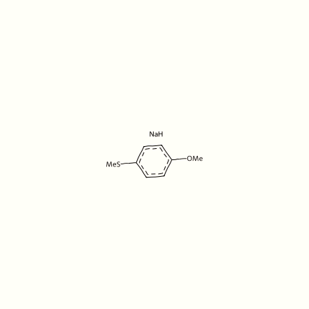 COc1ccc(SC)cc1.[NaH]